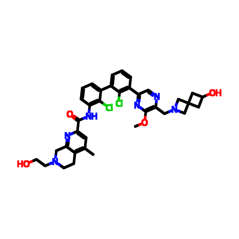 COc1nc(-c2cccc(-c3cccc(NC(=O)c4cc(C)c5c(n4)CN(CCO)CC5)c3Cl)c2Cl)cnc1CN1CC2(CC(O)C2)C1